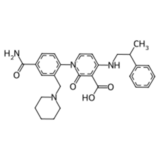 CC(CNc1ccn(-c2ccc(C(N)=O)cc2CN2CCCCC2)c(=O)c1C(=O)O)c1ccccc1